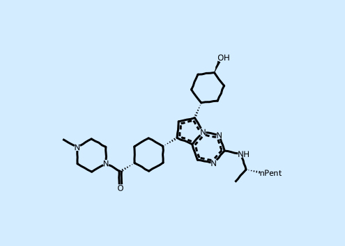 CCCCC[C@H](C)Nc1ncc2c([C@H]3CC[C@@H](C(=O)N4CCN(C)CC4)CC3)cc([C@H]3CC[C@H](O)CC3)n2n1